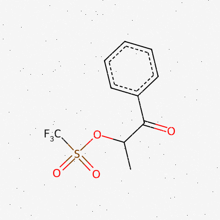 CC(OS(=O)(=O)C(F)(F)F)C(=O)c1ccccc1